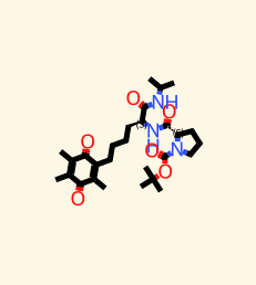 CC1=C(C)C(=O)C(CCCC[C@H](NC(=O)[C@@H]2CCCN2C(=O)OC(C)(C)C)C(=O)NC(C)C)=C(C)C1=O